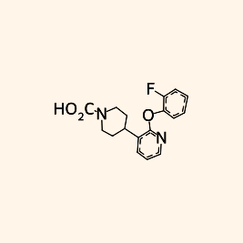 O=C(O)N1CCC(c2cccnc2Oc2ccccc2F)CC1